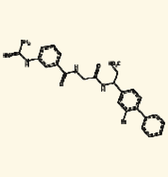 CCc1cc(C(CC(=O)O)NC(=O)CNC(=O)c2cccc(NC(=N)N)c2)ccc1-c1ccccc1